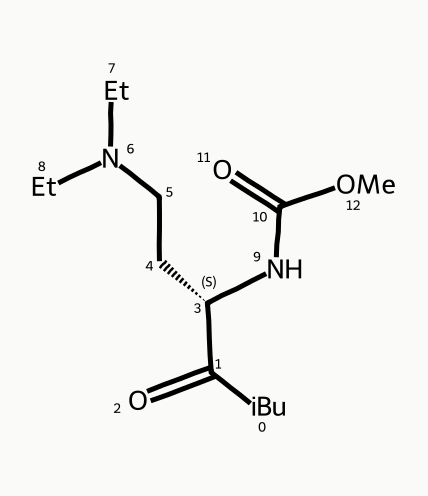 CCC(C)C(=O)[C@H](CCN(CC)CC)NC(=O)OC